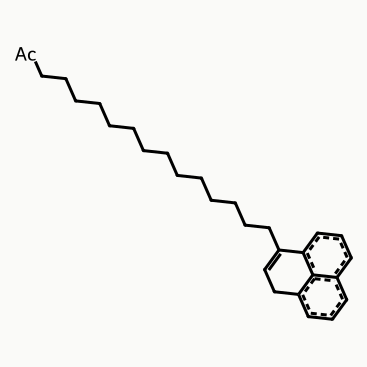 CC(=O)CCCCCCCCCCCCCCC1=CCc2cccc3cccc1c23